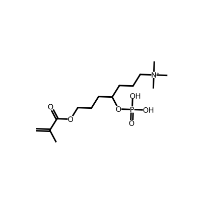 C=C(C)C(=O)OCCCC(CCC[N+](C)(C)C)OP(=O)(O)O